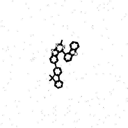 Cc1nc(-c2cccc3oc4ccccc4c23)c2c(n1)sc1ccc(-c3ccc4c(c3)C(C)(C)c3ccccc3-4)cc12